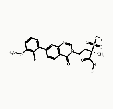 COc1cccc(-c2ccc3c(=O)n(CC[C@](C)(C(=O)NO)S(C)(=O)=O)cnc3c2)c1F